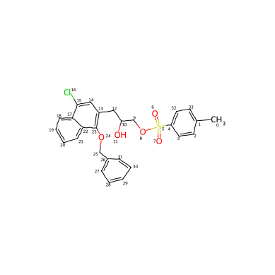 Cc1ccc(S(=O)(=O)OCC(O)Cc2cc(Cl)c3ccccc3c2OCc2ccccc2)cc1